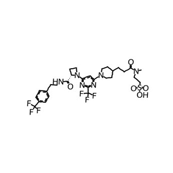 CN(CCS(=O)(=O)O)C(=O)CCC1CCN(c2cc(N3CC[C@H]3C(=O)NCCc3ccc(C(F)(F)F)cc3)nc(C(F)(F)F)n2)CC1